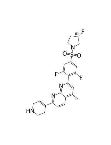 Cc1cc(-c2c(F)cc(S(=O)(=O)N3CC[C@H](F)C3)cc2F)nc2nc(C3=CCNCC3)ccc12